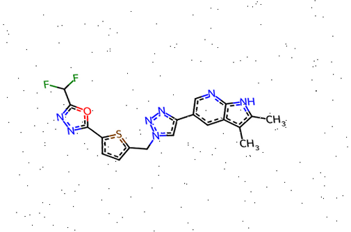 Cc1[nH]c2ncc(-c3cn(Cc4ccc(-c5nnc(C(F)F)o5)s4)nn3)cc2c1C